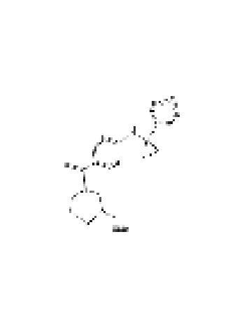 COCC1CCCN(C(=O)c2cnc(NC3(c4cncnc4)CC3)nc2)C1